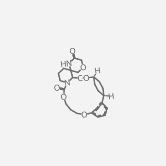 O=C1COCC2(CCCN3C(=O)OCCCOc4cccc(c4)[C@H]4CC[C@H](CC4)OCC32)N1